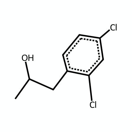 CC(O)Cc1ccc(Cl)cc1Cl